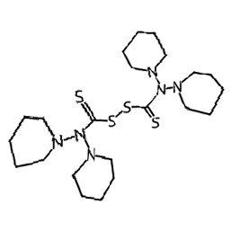 S=C(SSC(=S)N(N1CCCCC1)N1CCCCC1)N(N1CCCCC1)N1CCCCC1